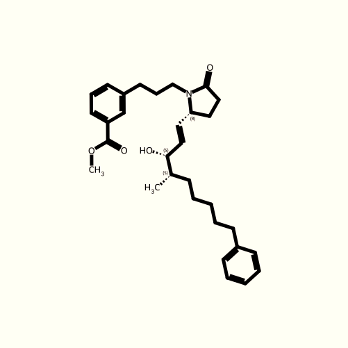 COC(=O)c1cccc(CCCN2C(=O)CC[C@@H]2C=C[C@@H](O)[C@@H](C)CCCCCc2ccccc2)c1